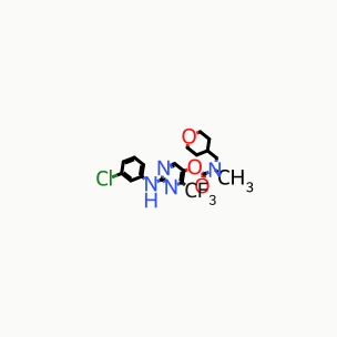 CN(CC1CCOCC1)C(=O)Oc1cnc(Nc2cccc(Cl)c2)nc1C(F)(F)F